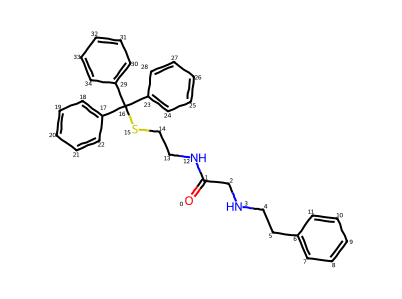 O=C(CNCCc1ccccc1)NCCSC(c1ccccc1)(c1ccccc1)c1ccccc1